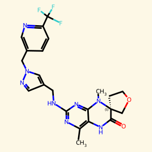 Cc1nc(NCc2cnn(Cc3ccc(C(F)(F)F)nc3)c2)nc2c1NC(=O)[C@@]1(CCOC1)N2C